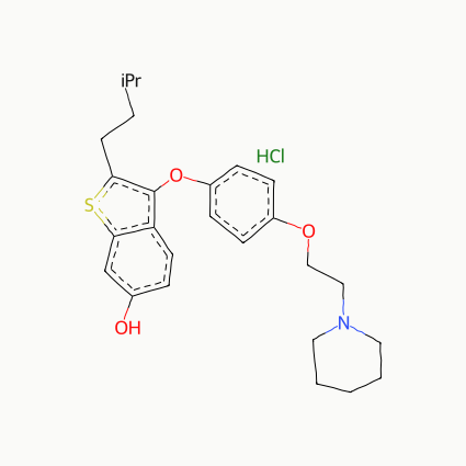 CC(C)CCc1sc2cc(O)ccc2c1Oc1ccc(OCCN2CCCCC2)cc1.Cl